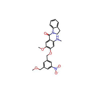 CNc1cc(OCc2cc(COC)cc([N+](=O)[O-])c2)c(OC)cc1C(=O)N1CCc2ccccc21